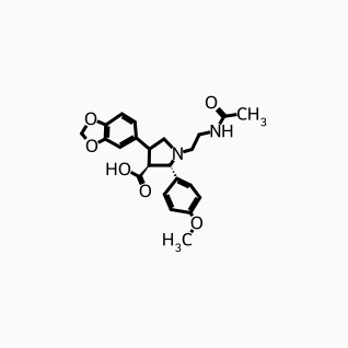 COc1ccc([C@@H]2[C@@H](C(=O)O)C(c3ccc4c(c3)OCO4)CN2CCNC(C)=O)cc1